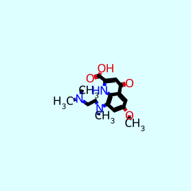 COc1cc(N(C)CCN(C)C)c2[nH]c(C(=O)O)cc(=O)c2c1